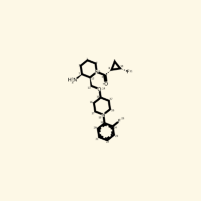 N[C@H]1CCCN(C(=O)[C@@H]2C[C@@H]2F)[C@H]1COC1CCN(c2ccccc2F)CC1